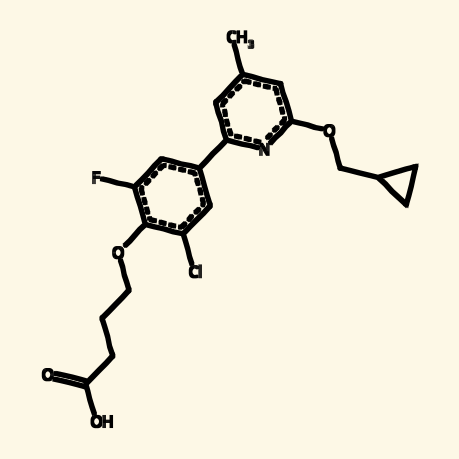 Cc1cc(OCC2CC2)nc(-c2cc(F)c(OCCCC(=O)O)c(Cl)c2)c1